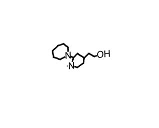 OCCC1CC[N]C(N2CCCCCC2)C1